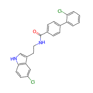 O=C(NCCc1c[nH]c2ccc(Cl)cc12)c1ccc(-c2ccccc2Cl)cc1